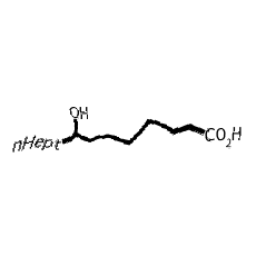 CCCCCCCC(O)CCCCCCC(=O)O